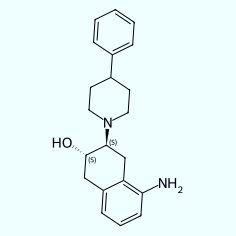 Nc1cccc2c1C[C@H](N1CCC(c3ccccc3)CC1)[C@@H](O)C2